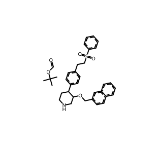 CC(C)(C)OC=O.O=S(=O)(CCc1ccc(C2CCNCC2OCc2ccc3ccccc3c2)cc1)c1ccccc1